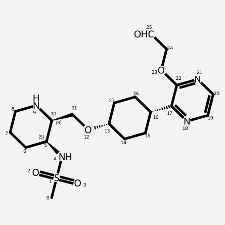 CS(=O)(=O)N[C@H]1CCCN[C@H]1CO[C@H]1CC[C@@H](c2nccnc2OCC=O)CC1